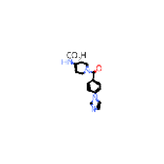 O=C(O)NC1CCN(C(=O)c2ccc(-n3ccnc3)cc2)CC1